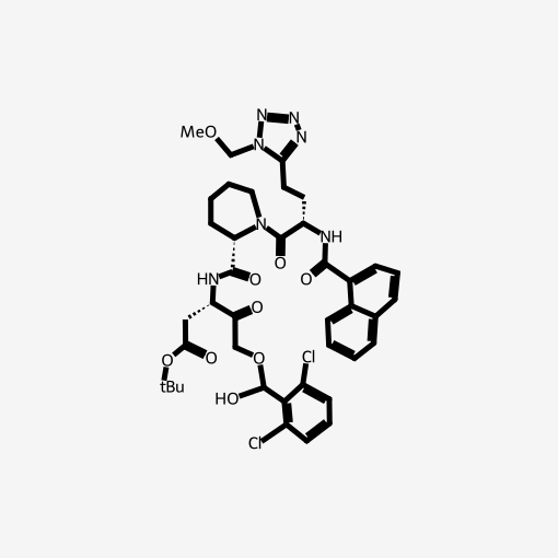 COCn1nnnc1CC[C@H](NC(=O)c1cccc2ccccc12)C(=O)N1CCCC[C@H]1C(=O)N[C@@H](CC(=O)OC(C)(C)C)C(=O)COC(O)c1c(Cl)cccc1Cl